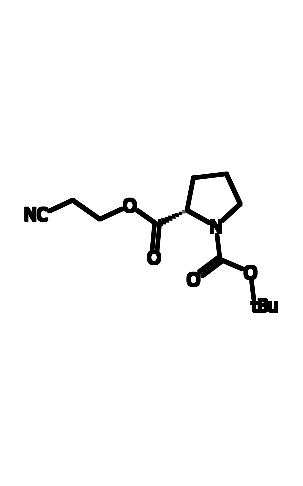 CC(C)(C)OC(=O)N1CCC[C@H]1C(=O)OCCC#N